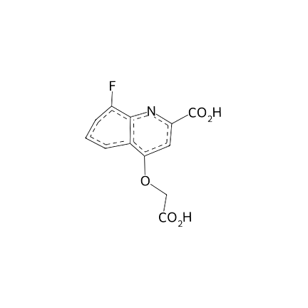 O=C(O)COc1cc(C(=O)O)nc2c(F)cccc12